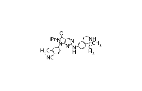 Cc1cc(-n2c3nc(Nc4ccc5c(c4)CCNC5(C)C)ncc3c(=O)n2C(C)C)ccc1C#N